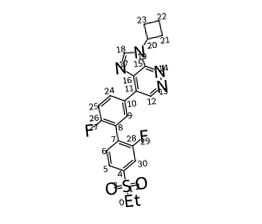 CCS(=O)(=O)c1ccc(-c2cc(-c3cnnc4c3ncn4C3CCC3)ccc2F)c(F)c1